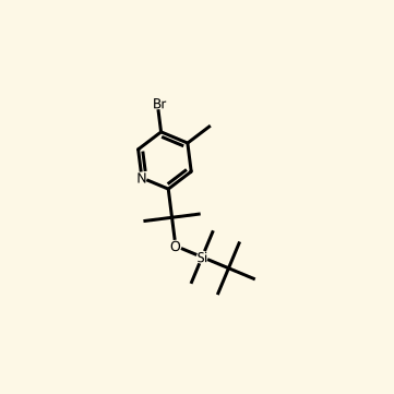 Cc1cc(C(C)(C)O[Si](C)(C)C(C)(C)C)ncc1Br